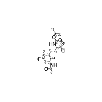 CC(=O)Nc1cc(F)c(C)c(CCC(NC(=O)OC(C)C)C(=O)Cl)c1